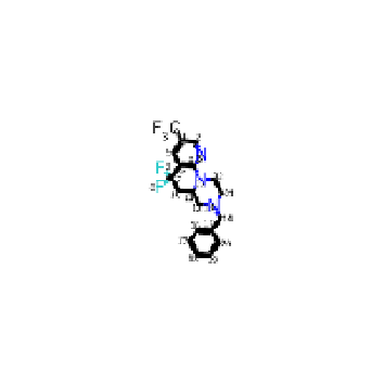 FC(F)(F)c1cnc2c(c1)C(F)(F)CC1CN(Cc3ccccc3)CCN21